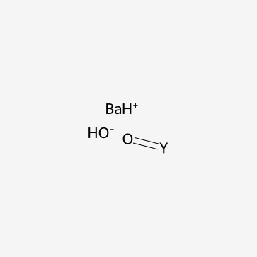 [BaH+].[OH-].[O]=[Y]